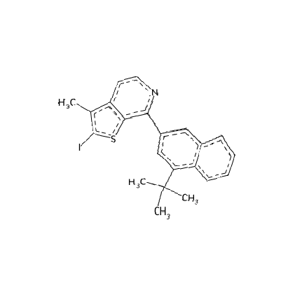 Cc1c(I)sc2c(-c3cc(C(C)(C)C)c4ccccc4c3)nccc12